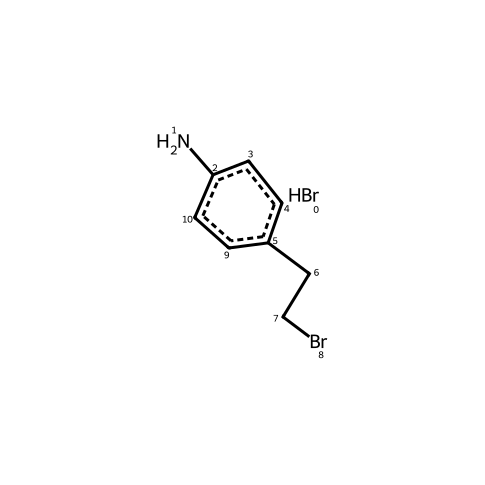 Br.Nc1ccc(CCBr)cc1